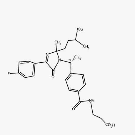 CC(CCC1(C)N=C(c2ccc(F)cc2)C(=O)N1[C@H](C)c1ccc(C(=O)NCCC(=O)O)cc1)C(C)(C)C